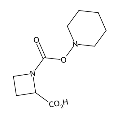 O=C(O)C1CCN1C(=O)ON1CCCCC1